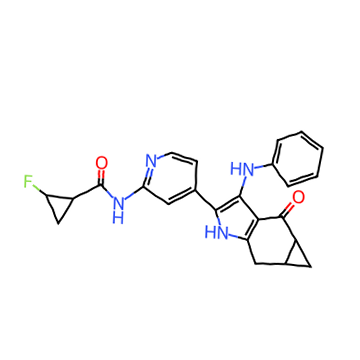 O=C(Nc1cc(-c2[nH]c3c(c2Nc2ccccc2)C(=O)C2CC2C3)ccn1)C1CC1F